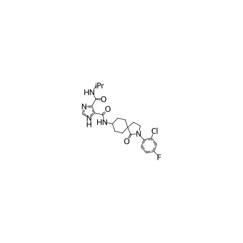 CC(C)NC(=O)c1nc[nH]c1C(=O)NC1CCC2(CC1)CCN(c1ccc(F)cc1Cl)C2=O